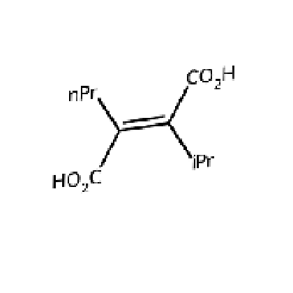 CCC/C(C(=O)O)=C(\C(=O)O)C(C)C